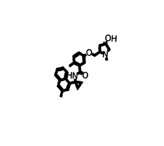 Cc1cc(C2(NC(=O)c3cc(OCC4C[C@H](O)CN4C)ccc3C)CC2)c2ccccc2c1